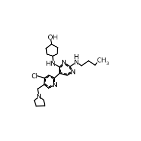 CCCCNc1ncc(-c2cc(Cl)c(CN3CCCC3)cn2)c(NC2CCC(O)CC2)n1